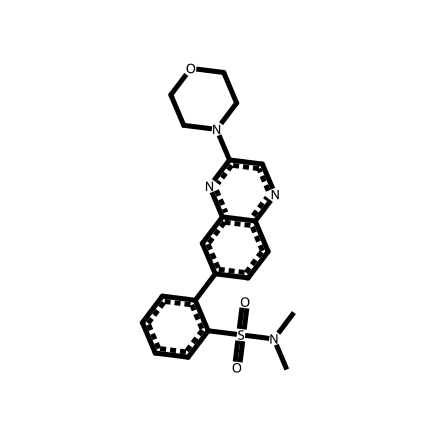 CN(C)S(=O)(=O)c1ccccc1-c1ccc2ncc(N3CCOCC3)nc2c1